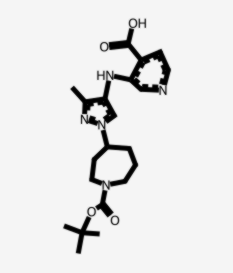 Cc1nn(C2CCCN(C(=O)OC(C)(C)C)CC2)cc1Nc1cnccc1C(=O)O